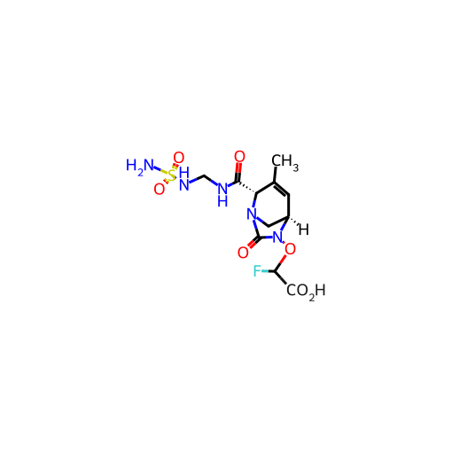 CC1=C[C@@H]2CN(C(=O)N2OC(F)C(=O)O)[C@@H]1C(=O)NCNS(N)(=O)=O